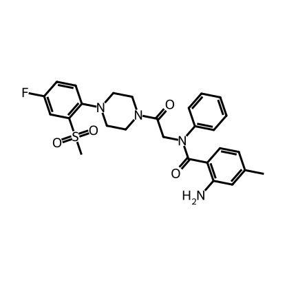 Cc1ccc(C(=O)N(CC(=O)N2CCN(c3ccc(F)cc3S(C)(=O)=O)CC2)c2ccccc2)c(N)c1